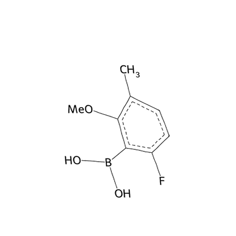 COc1c(C)ccc(F)c1B(O)O